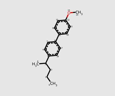 CCCC(C)c1ccc(-c2ccc(OC)cc2)cc1